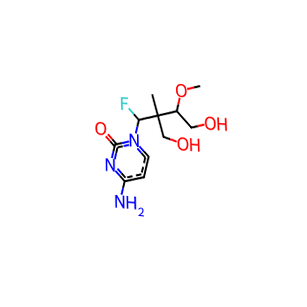 COC(CO)C(C)(CO)C(F)n1ccc(N)nc1=O